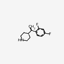 C=C(c1ccc(F)cc1F)C1CCNCC1